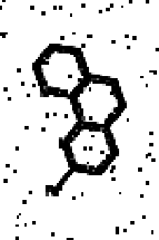 [Fe][c]1ccc2ccc3cccnc3c2n1